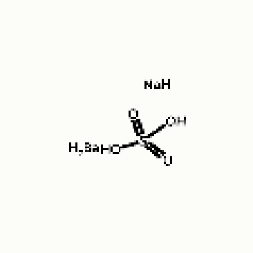 O=S(=O)(O)O.[BaH2].[NaH]